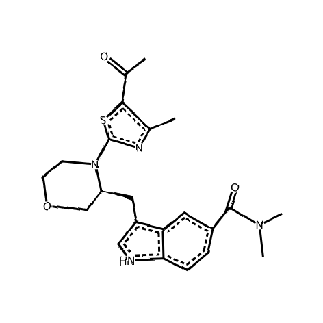 CC(=O)c1sc(N2CCOC[C@@H]2Cc2c[nH]c3ccc(C(=O)N(C)C)cc23)nc1C